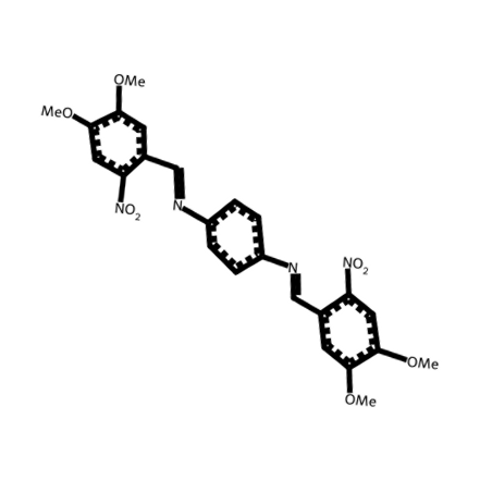 COc1cc(/C=N/c2ccc(/N=C/c3cc(OC)c(OC)cc3[N+](=O)[O-])cc2)c([N+](=O)[O-])cc1OC